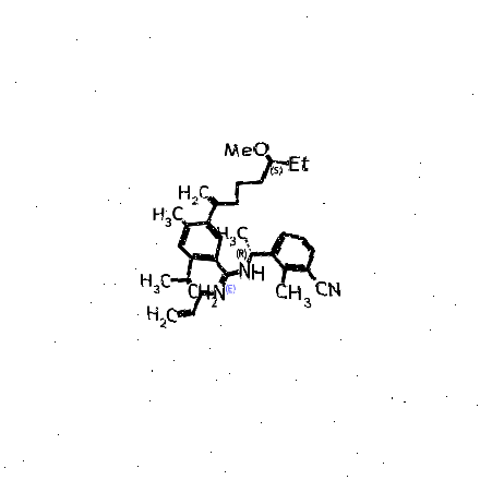 C=CC/N=C(/N[C@H](C)c1cccc(C#N)c1C)c1cc(C(=C)CCC[C@H](CC)OC)c(C)cc1C(=C)C